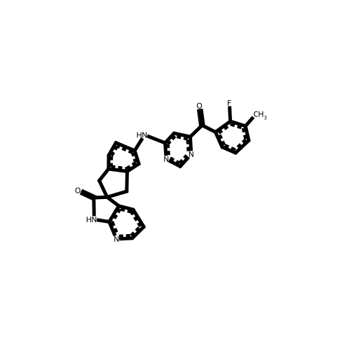 Cc1cccc(C(=O)c2cc(Nc3ccc4c(c3)CC3(C4)C(=O)Nc4ncccc43)ncn2)c1F